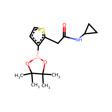 CC1(C)OB(c2ccsc2CC(=O)NC2CC2)OC1(C)C